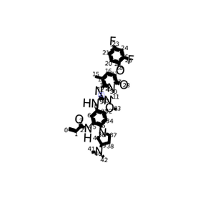 C=CC(=O)Nc1cc(N/C(N=C)=N/c2c(C)cc(Oc3ccc(F)cc3F)c(=O)n2C)c(OC)cc1N1CCC(N(C)C)C1